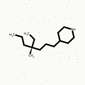 CCC[C@](C)(CC)CCCC1CCNCC1